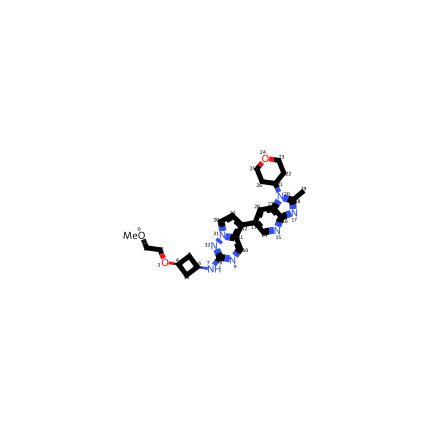 COCCO[C@H]1C[C@@H](Nc2ncc3c(-c4cnc5nc(C)n(C6CCOCC6)c5c4)ccn3n2)C1